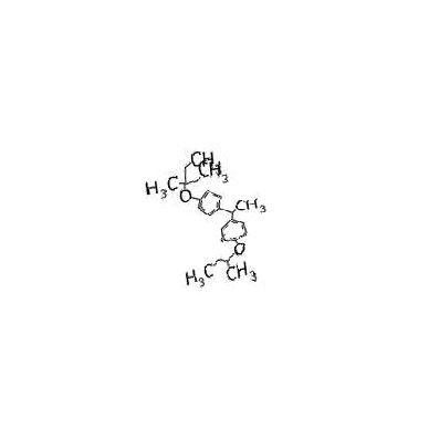 CCC(C)Oc1ccc(C(C)c2ccc(OC(C)(CC)CC)cc2)cc1